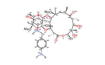 CC[C@H]1OC(=O)[C@H](C)[C@@H](O[C@@H]2C[C@@H](C)[C@H](O)[C@](C)(OC)O2)[C@H](C)[C@@H](O[C@@H]2O[C@H](C)C[C@H](N(C)Cc3ccc(N(C)C)cc3)[C@H]2OC)[C@@](C)(OC)C[C@@H](C)C(=O)[C@H](C)[C@@H](O)[C@]1(C)O